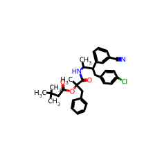 CC(NC(=O)C(C)(Cc1ccccc1)OC(=O)CC(C)(C)C)C(Cc1ccc(Cl)cc1)c1cccc(C#N)c1